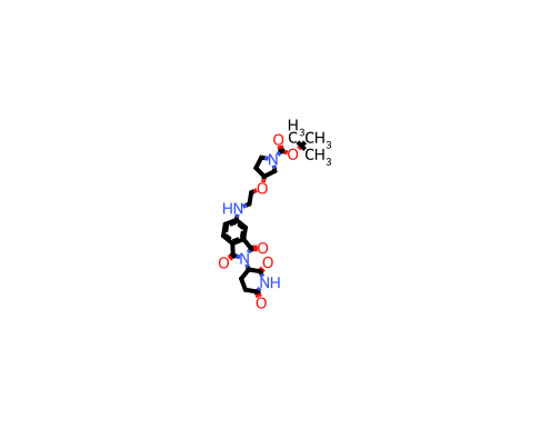 CC(C)(C)OC(=O)N1CCC(OCCNc2ccc3c(c2)C(=O)N(C2CCC(=O)NC2=O)C3=O)C1